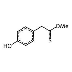 COC(=S)Cc1ccc(O)cc1